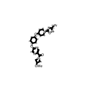 COC1CN(C(=O)c2cnc(O[C@H]3CC[C@H](OC4CCN(c5nc(C(C)C)no5)CC4)CC3)cn2)C1